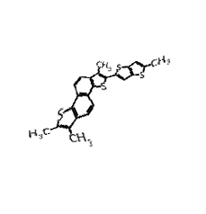 Cc1cc2sc(-c3sc4c(ccc5c4ccc4c(C)c(C)sc45)c3C)cc2s1